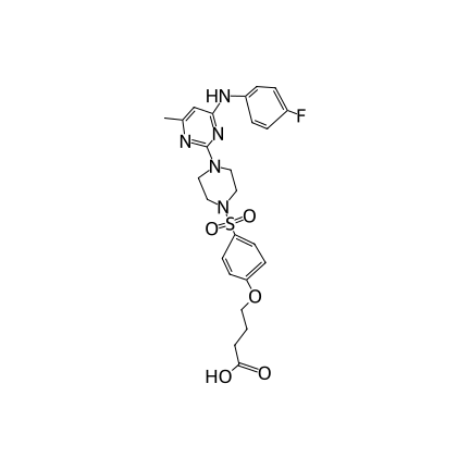 Cc1cc(Nc2ccc(F)cc2)nc(N2CCN(S(=O)(=O)c3ccc(OCCCC(=O)O)cc3)CC2)n1